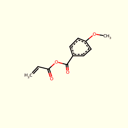 C=CC(=O)OC(=O)c1ccc(OC)cc1